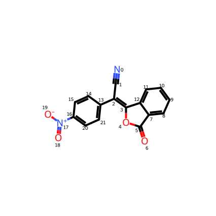 N#CC(=C1OC(=O)c2ccccc21)c1ccc([N+](=O)[O-])cc1